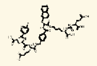 O=C(O)CCC[C@H](NC(=O)[C@H](CCC(=O)O)NC(=O)c1ccc(F)nc1)C(=O)NCc1ccc(C(=O)N[C@@H](Cc2ccc3ccccc3c2)C(=O)NCCCC[C@H](NC(=O)N[C@@H](CCC(=O)O)C(=O)O)C(=O)O)cc1